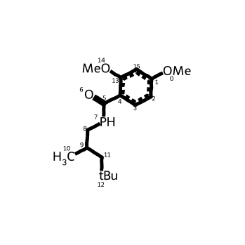 COc1ccc(C(=O)PCC(C)CC(C)(C)C)c(OC)c1